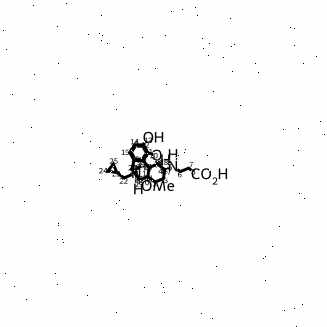 CO[C@@]12CC[C@H](NCCC(=O)O)[C@@H]3Oc4c(O)ccc5c4[C@@]31CCN(CC1CC1)[C@@H]2C5